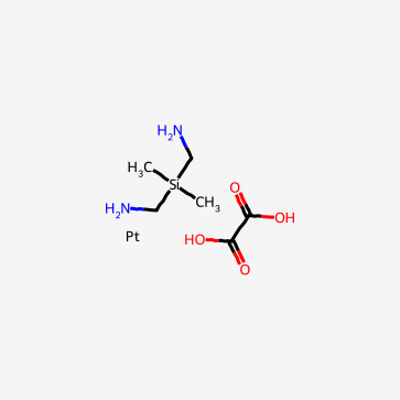 C[Si](C)(CN)CN.O=C(O)C(=O)O.[Pt]